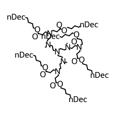 CCCCCCCCCCCCCCOC(=O)CCN(CCC(=O)OCCCCCCCCCCCCCC)CCN(C)CCN(CCN(C)CCN(CCC(=O)OCCCCCCCCCCCCCC)CCC(=O)OCCCCCCCCCCCCCC)CCN(C)CCN(CCC(=O)OCCCCCCCCCCCCCC)CCC(=O)OCCCCCCCCCCCCCC